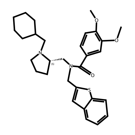 COc1ccc(C(=O)N(Cc2cc3ccccc3s2)C[C@@H]2CCCN2CC2CCCCC2)cc1OC